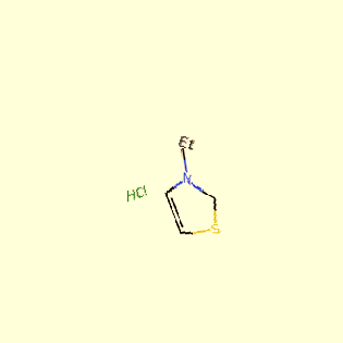 CCN1C=CSC1.Cl